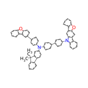 CC1(C)c2ccccc2-c2ccc(N(c3ccc(-c4ccc(-n5c6ccccc6c6cc7oc8ccccc8c7cc65)cc4)cc3)c3ccc(-c4ccc5oc6ccccc6c5c4)cc3)cc21